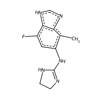 Cc1c(NC2=NCCN2)cc(F)c2[nH]cnc12